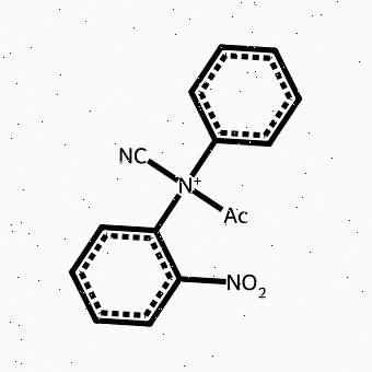 CC(=O)[N+](C#N)(c1ccccc1)c1ccccc1[N+](=O)[O-]